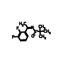 C/C(=N/[S+]([O-])C(C)(C)C)c1cccc(F)c1F